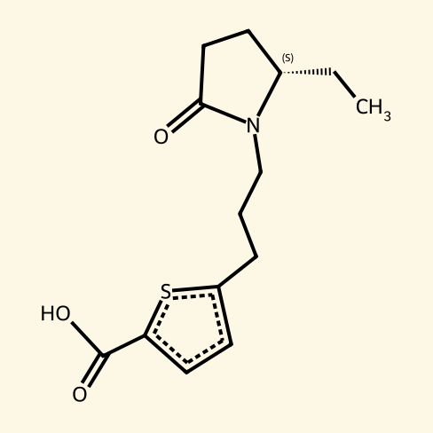 CC[C@H]1CCC(=O)N1CCCc1ccc(C(=O)O)s1